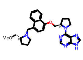 COC[C@H]1CCCN1Cc1ccc(OC[C@H]2CCCN2c2ncnc3[nH]cnc23)c2ccccc12